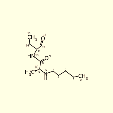 CCCCCN[C@@H](C)C(=O)NC(C=O)CC